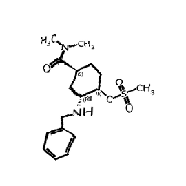 CN(C)C(=O)[C@H]1CC[C@@H](OS(C)(=O)=O)[C@H](NCc2ccccc2)C1